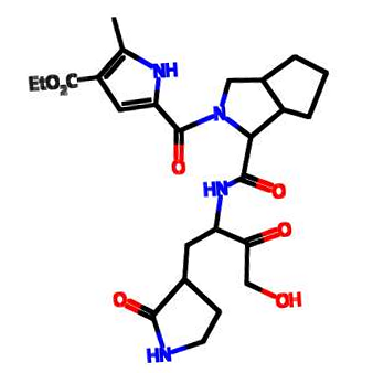 CCOC(=O)c1cc(C(=O)N2CC3CCCC3C2C(=O)NC(CC2CCNC2=O)C(=O)CO)[nH]c1C